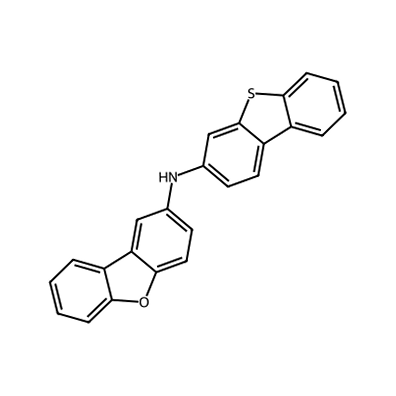 c1ccc2c(c1)oc1ccc(Nc3ccc4c(c3)sc3ccccc34)cc12